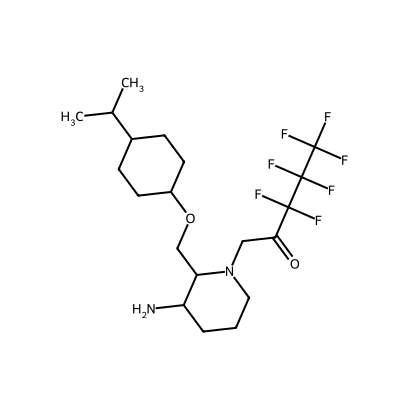 CC(C)C1CCC(OCC2C(N)CCCN2CC(=O)C(F)(F)C(F)(F)C(F)(F)F)CC1